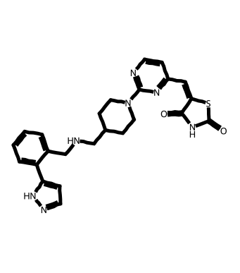 O=C1NC(=O)/C(=C\c2ccnc(N3CCC(CNCc4ccccc4-c4ccn[nH]4)CC3)n2)S1